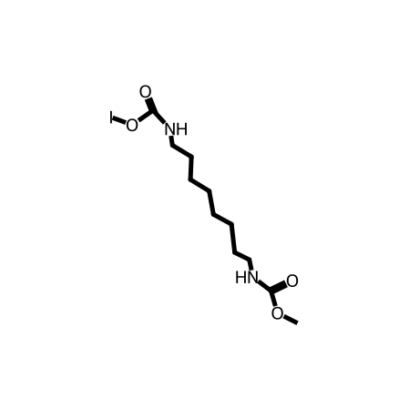 COC(=O)NCCCCCCCCNC(=O)OI